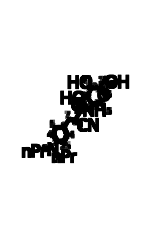 CCCN(CCC)c1ccc(/C=C(\C#N)C(=O)N[C@H]2C(C)O[C@H](CO)[C@@H](O)[C@@H]2O)cc1